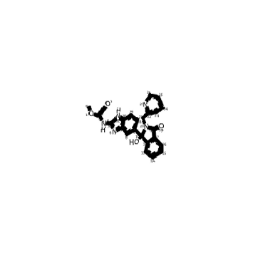 COC(=O)Nc1nc2cc(C3(O)c4ccccc4C(=O)N3Cc3ccccn3)ccc2[nH]1